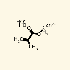 C=C(C)C(=O)OC.[OH-].[OH-].[Zn+2]